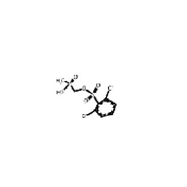 CP(=O)(O)COS(=O)(=O)c1c(Cl)cccc1Cl